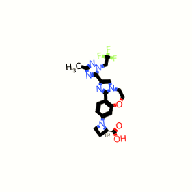 Cc1nc(-c2cn3c(n2)-c2ccc(N4CC[C@H]4C(=O)O)cc2OCC3)n(CC(F)(F)F)n1